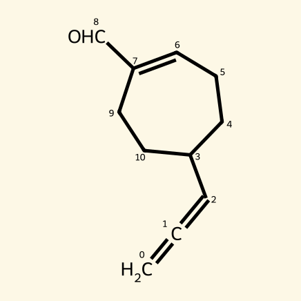 C=C=CC1CCC=C(C=O)CC1